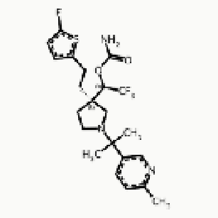 Cc1ccc(C(C)(C)N2CC[C@@](CCc3ccc(F)s3)([C@@H](OC(N)=O)C(F)(F)F)C2)cn1